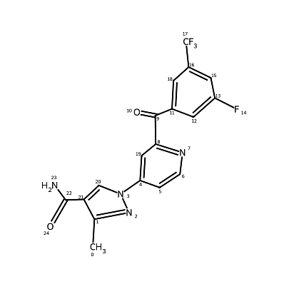 Cc1nn(-c2ccnc(C(=O)c3cc(F)cc(C(F)(F)F)c3)c2)cc1C(N)=O